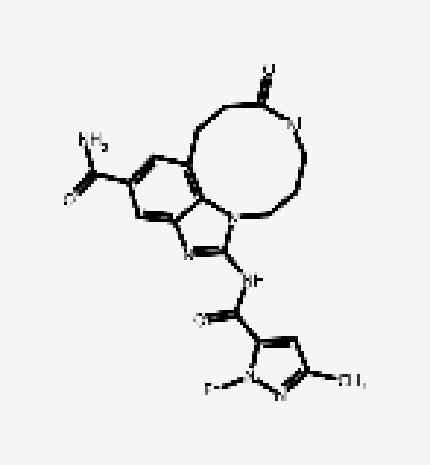 CCn1nc(C)cc1C(=O)Nc1nc2cc(C(N)=O)cc3c2n1CCCNC(=O)CC3